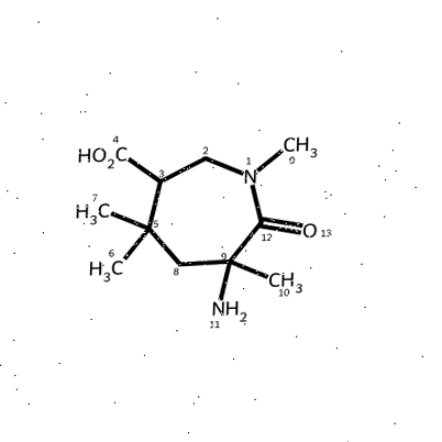 CN1CC(C(=O)O)C(C)(C)CC(C)(N)C1=O